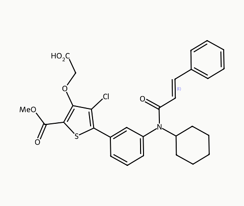 COC(=O)c1sc(-c2cccc(N(C(=O)/C=C/c3ccccc3)C3CCCCC3)c2)c(Cl)c1OCC(=O)O